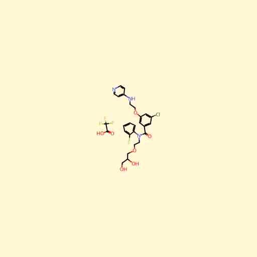 O=C(O)C(F)(F)F.O=C(c1cc(Cl)cc(OCCNc2ccncc2)c1)N(CCOCC(O)CO)c1ccccc1F